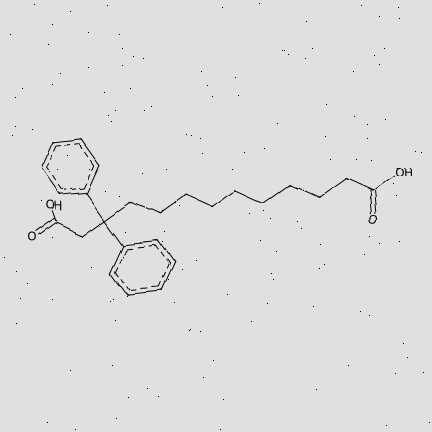 O=C(O)CCCCCCCCCC(CC(=O)O)(c1ccccc1)c1ccccc1